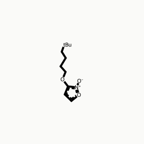 CC(C)(C)CCCCOc1cco[n+]1[O-]